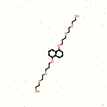 SCCSCCSCCCOc1cccc2c(OCCCSCCSCCS)cccc12